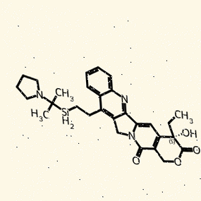 CC[C@@]1(O)C(=O)OCc2c1cc1n(c2=O)Cc2c-1nc1ccccc1c2CC[SiH2]C(C)(C)N1CCCC1